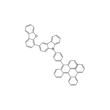 c1ccc(-c2ccccc2-c2c3ccccc3c(-c3ccc(-n4c5ccccc5c5cc(-c6cccc7c6oc6ccccc67)ccc54)cc3)c3ccccc23)cc1